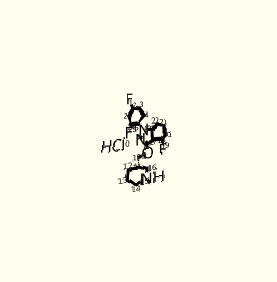 Cl.Fc1ccc(-n2nc(OC[C@H]3CCCNC3)c3c(F)cccc32)c(F)c1